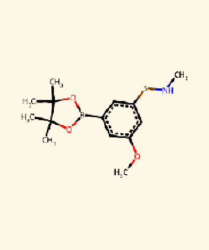 CNSc1cc(OC)cc(B2OC(C)(C)C(C)(C)O2)c1